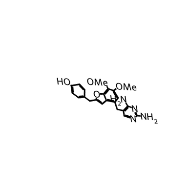 COc1cc(Cc2cnc(N)nc2N)c2cc(Cc3ccc(O)cc3)oc2c1OC